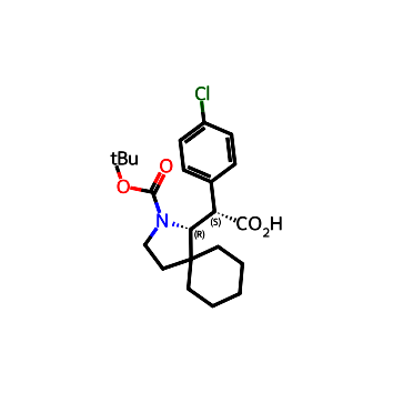 CC(C)(C)OC(=O)N1CCC2(CCCCC2)[C@H]1[C@@H](C(=O)O)c1ccc(Cl)cc1